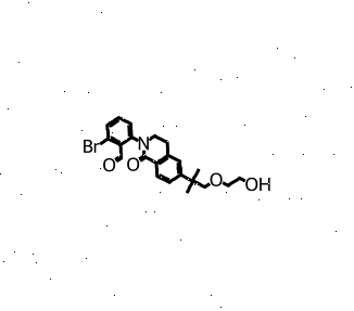 CC(C)(COCCO)c1ccc2c(c1)CCN(c1cccc(Br)c1C=O)C2=O